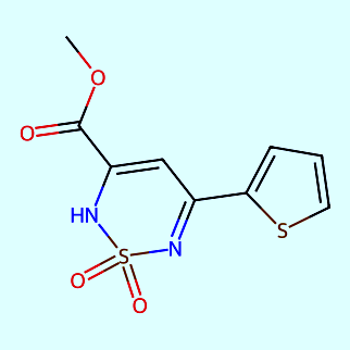 COC(=O)C1=CC(c2cccs2)=NS(=O)(=O)N1